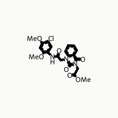 COC(=O)Cn1c(=O)c2ccccc2n(CC(=O)Nc2cc(Cl)c(OC)cc2OC)c1=O